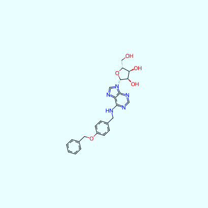 OC[C@H]1O[C@@H](n2cnc3c(NCc4ccc(OCc5ccccc5)cc4)ncnc32)[C@H](O)[C@@H]1O